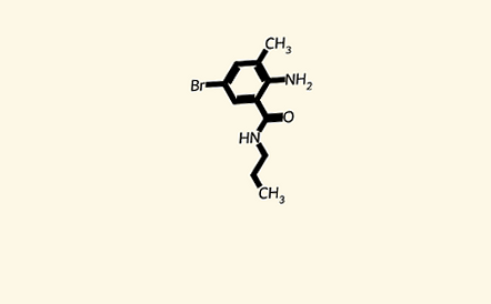 CCCNC(=O)c1cc(Br)cc(C)c1N